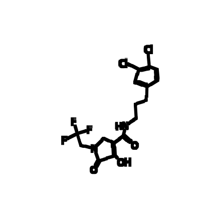 O=C(NCCCc1ccc(Cl)c(Cl)c1)C1=C(O)C(=O)N(CC(F)(F)F)C1